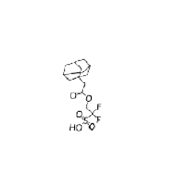 O=C(CC12CC3CC(CC(C3)C1)C2)OCC(F)(F)S(=O)(=O)O